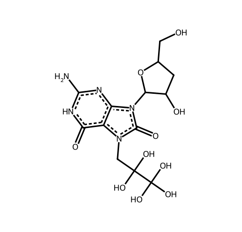 Nc1nc2c(c(=O)[nH]1)n(CC(O)(O)C(O)(O)O)c(=O)n2C1OC(CO)CC1O